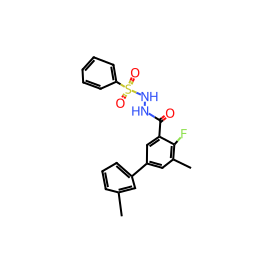 Cc1cccc(-c2cc(C)c(F)c(C(=O)NNS(=O)(=O)c3ccccc3)c2)c1